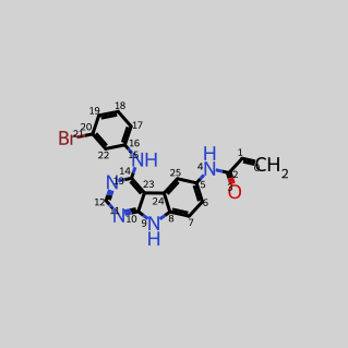 C=CC(=O)Nc1ccc2[nH]c3ncnc(Nc4cccc(Br)c4)c3c2c1